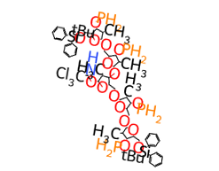 CC1C(OCC2OC(OC(=N)C(Cl)(Cl)Cl)C(C)C2OC2OC(COC3OC(CO[Si](c4ccccc4)(c4ccccc4)C(C)(C)C)C(OP)C3C)C(OP)C2C)OC(COC2OC(CO[Si](c3ccccc3)(c3ccccc3)C(C)(C)C)C(OP)C2C)C1OP